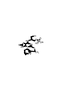 CC(C)CC(COP(=O)(O)O)Nc1nc(SC(C)c2ccccn2)nc2[nH]c(=O)sc12